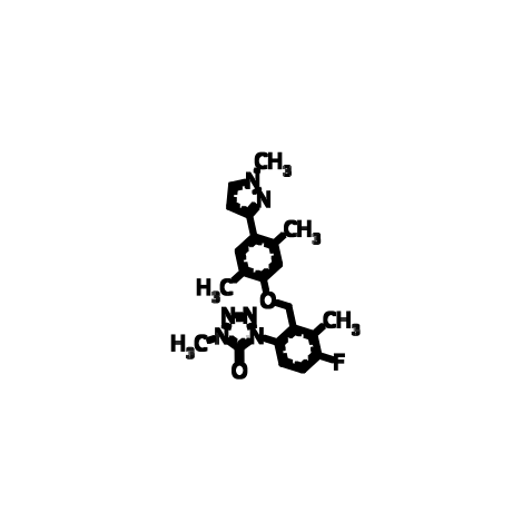 Cc1cc(-c2ccn(C)n2)c(C)cc1OCc1c(-n2nnn(C)c2=O)ccc(F)c1C